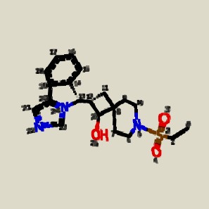 CCS(=O)(=O)N1CCC2(CC1)C[C@@H]([C@H]1c3ccccc3-c3cncn31)[C@@H]2O